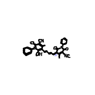 [C-]#[N+]C1=C(C)/C(=C/C=CC=Cc2c(C)c(C#N)c(=O)n(-c3ccccc3)c2O)C(=O)N(c2ccccc2)C1=O